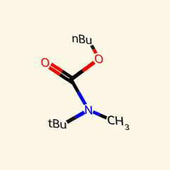 CCCCOC(=O)N(C)C(C)(C)C